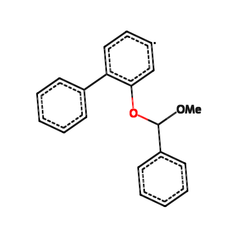 COC(Oc1c[c]ccc1-c1ccccc1)c1ccccc1